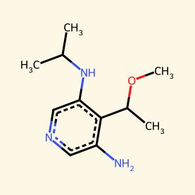 COC(C)c1c(N)cncc1NC(C)C